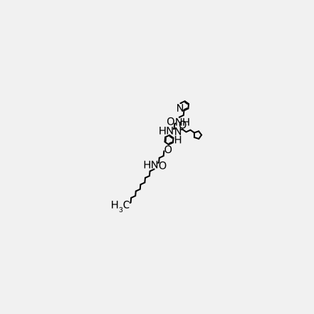 CCCCCCCCCCCCNC(=O)CCCOc1ccc(NC(NC(=O)CCC2CCCC2)C(=O)NCCc2ccccn2)cc1